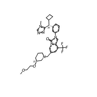 COCCO[C@H]1CCCN(Cc2cc(C(F)(F)F)c3cn(-c4cccc([C@H](c5nncn5C)C5CCC5)c4)c(=O)n3c2)C1